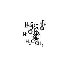 COC(=O)C1=C(C)N(c2cccc(C(F)(F)F)c2)c2n[nH]c(=O)n2[C@@H]1c1ccc(C#N)cc1CC[n+]1ccn(C)c1C.[Br-]